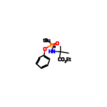 CCOC(=O)C(C)(C)N[P@@](=O)(Oc1ccccc1)C(C)(C)C